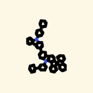 c1ccc(-c2ccc(-n3c4ccccc4c4cc(-c5ccc6c(c5)c5ccc7c(c5n6-c5cccc(-c6ccccc6)c5)-c5ccccc5C7(c5ccccc5)c5ccccc5)ccc43)cc2)cc1